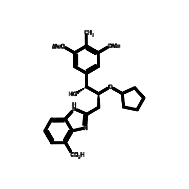 COc1cc([C@@H](O)[C@H](Cc2nc3c(C(=O)O)cccc3[nH]2)OC2CCCC2)cc(OC)c1C